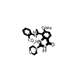 COc1ccc2c(=O)[nH]c(N3CCOCC3)nc2c1C(C)Nc1ccccc1C(=O)O